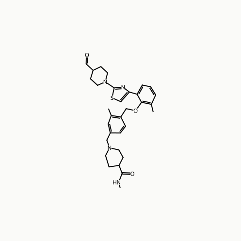 CNC(=O)C1CCN(Cc2ccc(COc3c(C)cccc3-c3csc(N4CCC(C=O)CC4)n3)c(C)c2)CC1